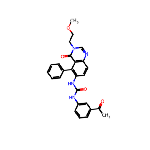 COCCn1cnc2ccc(NC(=O)Nc3cccc(C(C)=O)c3)c(-c3ccccc3)c2c1=O